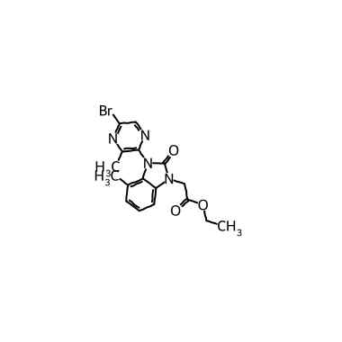 CCOC(=O)Cn1c(=O)n(-c2ncc(Br)nc2C)c2c(C)cccc21